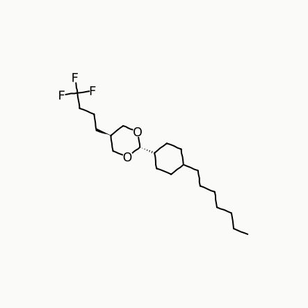 CCCCCCCC1CCC([C@H]2OC[C@H](CCCC(F)(F)F)CO2)CC1